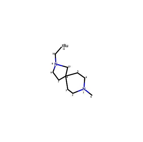 CN1CCC2(CC1)CCN(CC(C)(C)C)C2